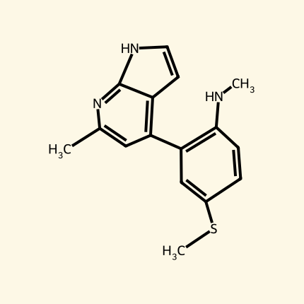 CNc1ccc(SC)cc1-c1cc(C)nc2[nH]ccc12